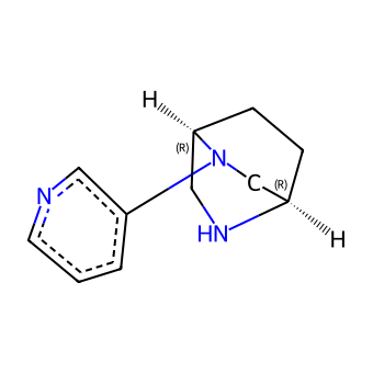 c1cncc(N2C[C@H]3CC[C@@H]2CN3)c1